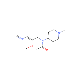 C=N/C=C(/CN(C(C)=O)C1CCN(C)CC1)OC